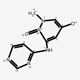 Cn1cc(Cl)cc(Nc2ccncn2)[n+]1=O